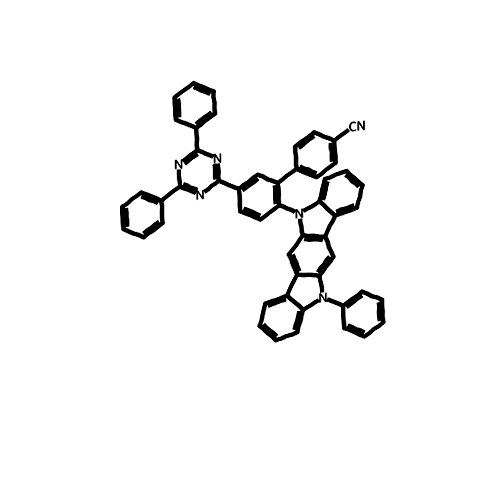 N#Cc1ccc(-c2cc(-c3nc(-c4ccccc4)nc(-c4ccccc4)n3)ccc2-n2c3ccccc3c3cc4c(cc32)c2ccccc2n4-c2ccccc2)cc1